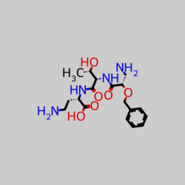 C[C@H](O)[C@H](NC(=O)[C@H](CN)OCc1ccccc1)C(=O)N[C@@H](CCN)C(=O)O